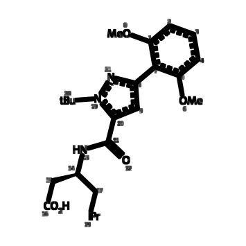 COc1cccc(OC)c1-c1cc(C(=O)N[C@H](CC(=O)O)CC(C)C)n(C(C)(C)C)n1